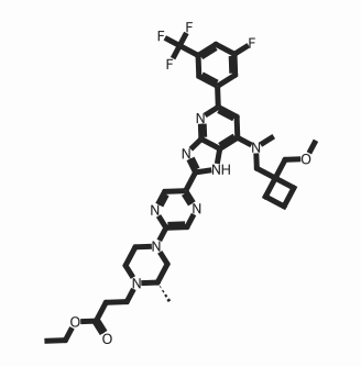 CCOC(=O)CCN1CCN(c2cnc(-c3nc4nc(-c5cc(F)cc(C(F)(F)F)c5)cc(N(C)CC5(COC)CCC5)c4[nH]3)cn2)C[C@@H]1C